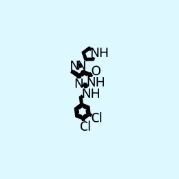 O=c1[nH]c(NCc2ccc(Cl)c(Cl)c2)nc2cnn(C3CCNC3)c12